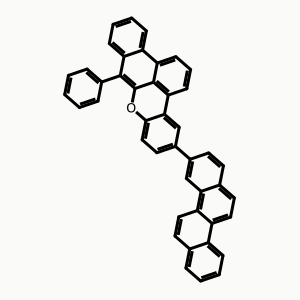 c1ccc(-c2c3c4c(cccc4c4ccccc24)-c2cc(-c4ccc5ccc6c7ccccc7ccc6c5c4)ccc2O3)cc1